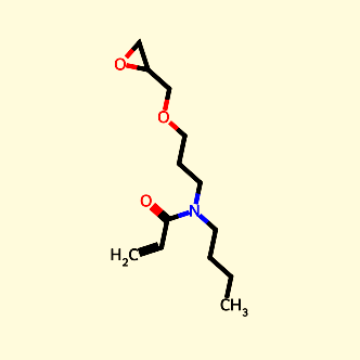 C=CC(=O)N(CCCC)CCCOCC1CO1